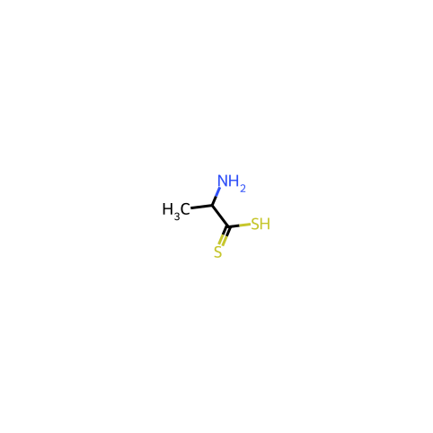 CC(N)C(=S)S